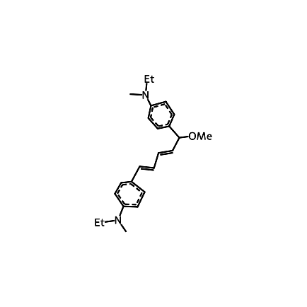 CCN(C)c1ccc(C=CC=CC(OC)c2ccc(N(C)CC)cc2)cc1